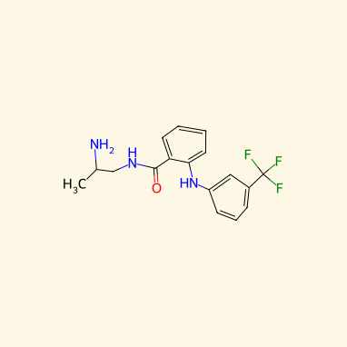 CC(N)CNC(=O)c1ccccc1Nc1cccc(C(F)(F)F)c1